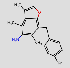 Cc1c(N)c(C)c2c(C)coc2c1Cc1ccc(C(C)C)cc1